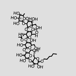 CCCCCCO[C@@H]1OC(CF)[C@@H](O[C@@H]2OC(CO)[C@H](O[C@H]3OC(CO)[C@H](O)[C@H](O[C@@H]4OC(CO)[C@H](O)[C@H](O[C@@H]5OC(CO)[C@H](O)[C@H](O)C5O[C@@H]5OC(C)[C@@H](O)[C@H](O)C5O)C4NC(C)=O)C3O)[C@H](O)C2O)[C@H](O)C1O